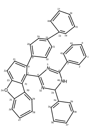 c1ccc(C2=NC(c3c(-c4ccc(-c5ccccc5)cc4)ccc4oc5ccccc5c34)=NC(c3ccccc3)N2)cc1